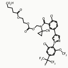 N#CC1(N(COC(=O)OCCOC(=O)CCCC(=O)O)C(=O)c2cc(-c3cnn(-c4c(Cl)cc(C(F)(C(F)(F)F)C(F)(F)F)cc4OC(F)(F)F)c3)ccc2Cl)CC1